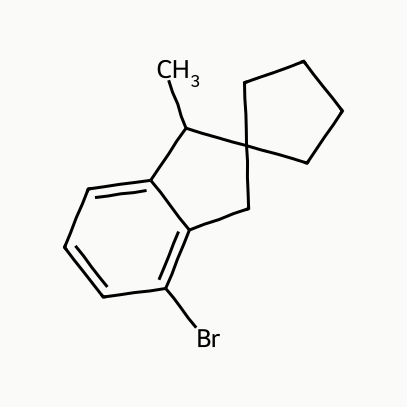 CC1c2cccc(Br)c2CC12CCCC2